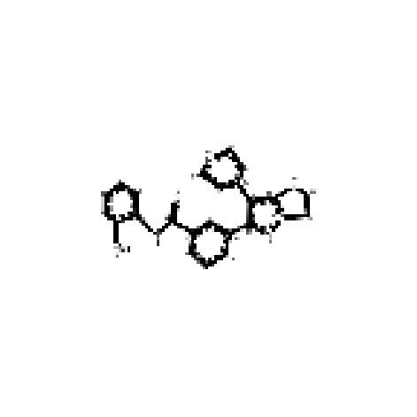 CC(C)(C)c1ccccc1NC(=O)c1cccc(-c2nn3c(c2-c2ccncc2)SCC3)c1